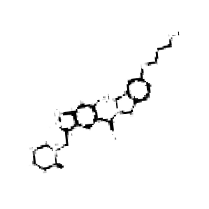 N#CCCCOc1ccc2c(c1)CN(C(=O)c1cc3c(CN4CCCCC4=O)n[nH]c3cc1O)C2